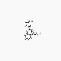 O=C(Cc1ccccc1S(=O)(=O)O)C1CCOCC1